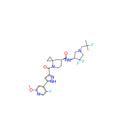 COc1cc(-c2cc(C(=O)N3CC[C@H](C(=O)N[C@H]4CN(CC(C)(C)F)CC4(F)F)CC34CC4)n[nH]2)c(F)cn1